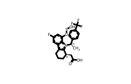 C[C@@H](c1ccc(C(F)(F)F)cc1)n1c2c(c3cc(F)cc(OSO)c31)CCC[C@@H]2CC(=O)O